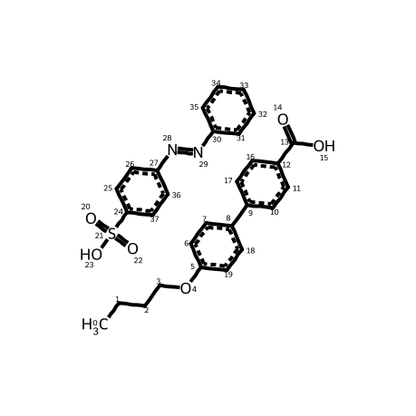 CCCCOc1ccc(-c2ccc(C(=O)O)cc2)cc1.O=S(=O)(O)c1ccc(N=Nc2ccccc2)cc1